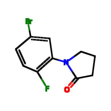 O=C1CCCN1c1cc(Br)ccc1F